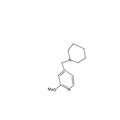 COc1cc(CN2CCCCC2)ccn1